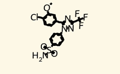 COc1cc(-c2nc(C(F)(F)F)nn2-c2ccc(S(N)(=O)=O)cc2)ccc1Cl